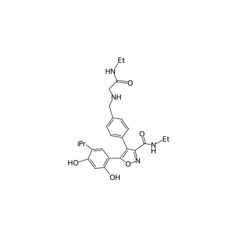 CCNC(=O)CNCc1ccc(-c2c(C(=O)NCC)noc2-c2cc(C(C)C)c(O)cc2O)cc1